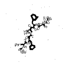 CC(C)C(NOC(C)(C)C)C(=O)NC(Cc1ccccc1)C(=O)C(=O)C1=CN(C(=O)C(=O)C(Cc2ccccc2)NC(=O)C(NOC(C)(C)C)C(C)C)NN1